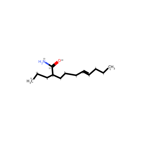 CCC/C=C/CCCC(CCC)C(N)=O